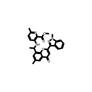 COC(=O)c1nc(C)ccc1NC(C)c1cc(C)cc2c(=O)cc(-c3nn(C)c4ccccc34)oc12